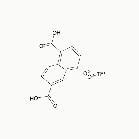 O=C(O)c1ccc2c(C(=O)O)cccc2c1.[O-2].[O-2].[Ti+4]